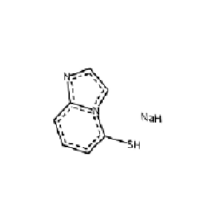 Sc1cccc2nccn12.[NaH]